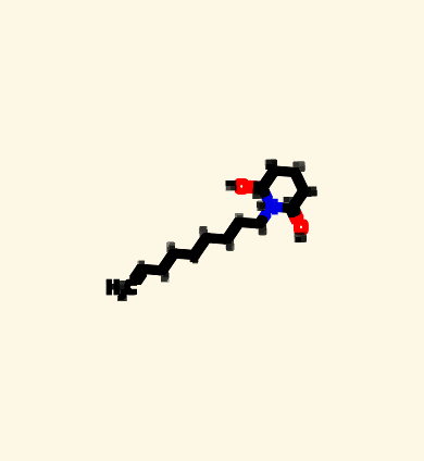 C=CCCCCCCCN1C(=O)CCCC1=O